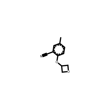 Cc1ccc(OC2COC2)c(C#N)c1